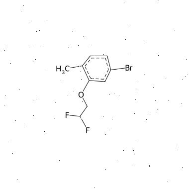 Cc1ccc(Br)cc1OCC(F)F